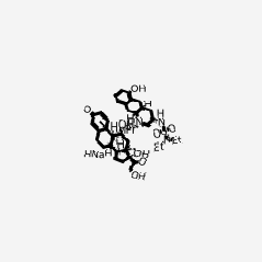 CCCN1C[C@@H](NS(=O)(=O)N(CC)CC)C[C@@H]2Cc3c(O)cccc3C[C@H]21.C[C@]12C=CC(=O)C=C1CC[C@@H]1[C@@H]2[C@@H](O)C[C@@]2(C)[C@H]1CC[C@]2(O)C(=O)CO.[NaH]